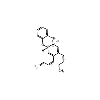 C=C/C=C\C1=C[C@@H]2Nc3ccccc3O[C@H]2C=C1/C=C\C=C